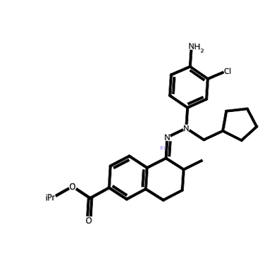 CC(C)OC(=O)c1ccc2c(c1)CCC(C)/C2=N\N(CC1CCCC1)c1ccc(N)c(Cl)c1